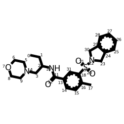 CCC(CN1CCOCC1)NC(=O)c1ccc(C)c(S(=O)(=O)N2Cc3ccccc3C2)c1